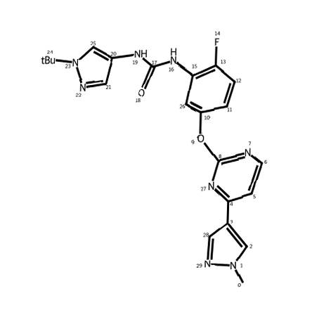 Cn1cc(-c2ccnc(Oc3ccc(F)c(NC(=O)Nc4cnn(C(C)(C)C)c4)c3)n2)cn1